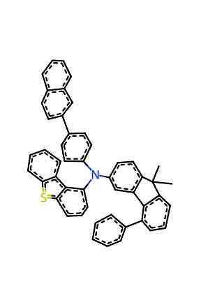 CC1(C)c2ccc(N(c3ccc(-c4ccc5ccccc5c4)cc3)c3cccc4sc5ccccc5c34)cc2-c2c(-c3ccccc3)cccc21